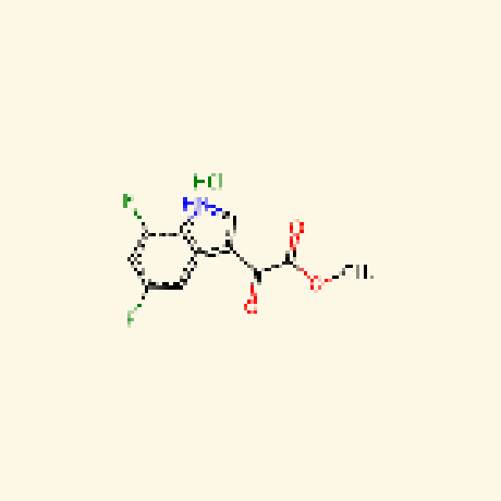 COC(=O)C(=O)c1c[nH]c2c(F)cc(F)cc12.Cl